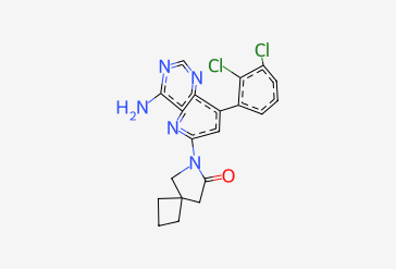 Nc1ncnc2c(-c3cccc(Cl)c3Cl)cc(N3CC4(CCC4)CC3=O)nc12